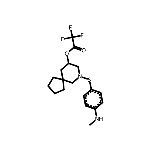 CNc1ccc(SN2CC(OC(=O)C(F)(F)F)CC3(CCCC3)C2)cc1